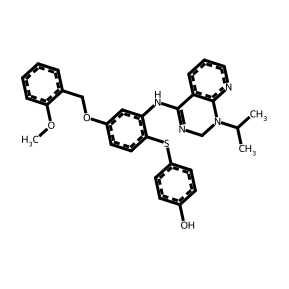 COc1ccccc1COc1ccc(Sc2ccc(O)cc2)c(NC2=NCN(C(C)C)c3ncccc32)c1